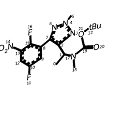 CC(c1nn(C)nc1-c1cc(F)cc([N+](=O)[O-])c1F)N(C)C(=O)OC(C)(C)C